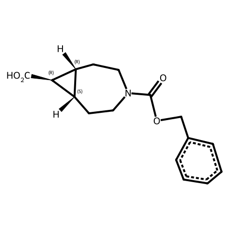 O=C(O)[C@H]1[C@@H]2CCN(C(=O)OCc3ccccc3)CC[C@@H]21